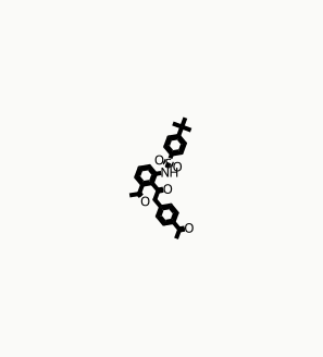 CC(=O)c1ccc(CC(=O)c2c(NS(=O)(=O)c3ccc(C(C)(C)C)cc3)cccc2C(C)=O)cc1